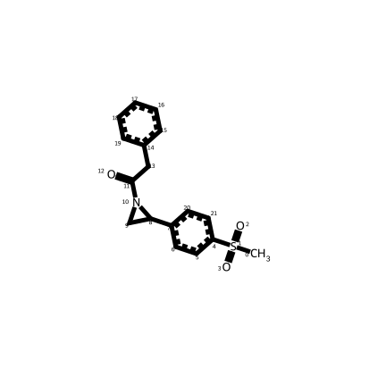 CS(=O)(=O)c1ccc(C2CN2C(=O)Cc2ccccc2)cc1